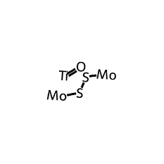 [Mo][S][S][Mo].[O]=[Ti]